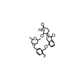 CC1CN(Cc2ccc(F)c(COc3cccc4c3CN([C@H]3CCC(=O)NC3=O)C4=O)c2)CC(C)O1